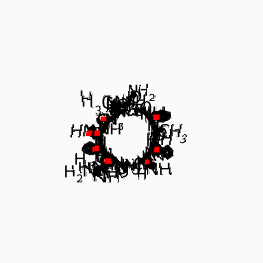 CC[C@@H]1NC(=O)[C@H](Cc2ccccc2)NC(=O)CSC[C@@H](C(=O)NCC(N)=O)NC(=O)[C@H](Cc2cncn2C)NC(=O)[C@H](CC)NC(=O)[C@H](Cc2c[nH]cn2)NC(=O)[C@H](Cc2ccccc2)N(C)C(=O)[C@H](CCCNC(=N)N)NC(=O)[C@H](CO)NC(=O)CNC(=O)[C@H](Cc2c[nH]cn2)NC(=O)[C@H](Cc2c[nH]c3ccccc23)NC1=O